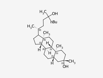 CCCCC(C)(O)CC[C@@H](C)C1CC[C@H]2[C@@H]3CC[C@H]4C[C@@](C)(O)CC[C@]4(C)[C@H]3CC[C@]12C